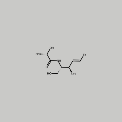 CC/C=C/[C@@H](O)[C@H](CO)NC(=O)[C@@H](O)CCC